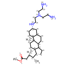 CC(C)OC(=O)CC[C@@H](C)[C@H]1CCC2C3CCC4C[C@@H](NCCN(CCN)CCN)CC[C@]4(C)C3CC[C@@]21C